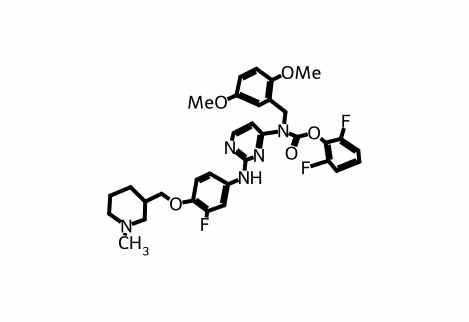 COc1ccc(OC)c(CN(C(=O)Oc2c(F)cccc2F)c2ccnc(Nc3ccc(OCC4CCCN(C)C4)c(F)c3)n2)c1